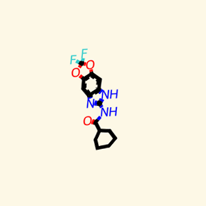 O=C(Nc1nc2cc3c(cc2[nH]1)OC(F)(F)O3)C1CCCCC1